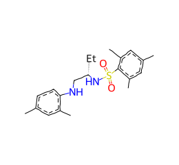 CC[C@@H](CNc1ccc(C)cc1C)NS(=O)(=O)c1c(C)cc(C)cc1C